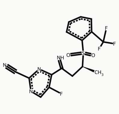 C[C@@H](CC(=N)c1nc(C#N)ncc1F)S(=O)(=O)c1ccccc1C(F)(F)F